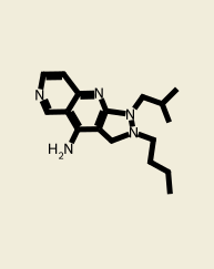 CCCCN1Cc2c(nc3ccncc3c2N)N1CC(C)C